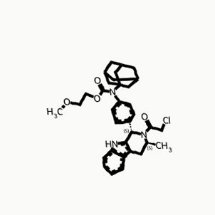 COCCOC(=O)N(c1ccc([C@H]2c3[nH]c4ccccc4c3C[C@H](C)N2C(=O)CCl)cc1)C12CC3CC(CC(C3)C1)C2